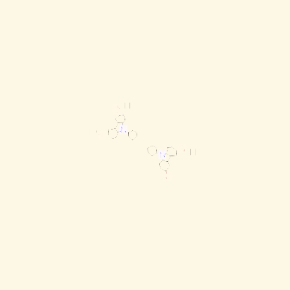 COc1ccc2c(c1)c1cc(OC)ccc1n2-c1ccc(CCc2ccc(-n3c4ccc(OC)cc4c4cc(OC)ccc43)cc2)cc1